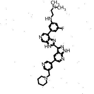 CN(C)CCNc1cc(F)cc(-c2cncc3[nH]c(-c4n[nH]c5ncc(-c6cncc(CN7CCCCC7)c6)cc45)nc23)c1